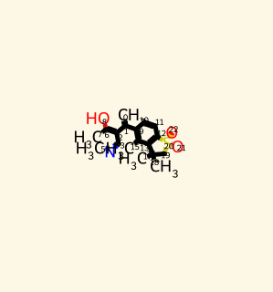 C=C(C(/C=N\C)=C(/C)O)c1ccc2c(c1C)C(C)(C)CS2(=O)=O